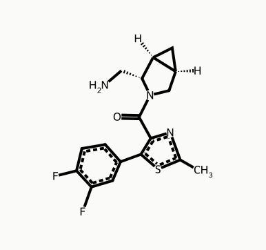 Cc1nc(C(=O)N2C[C@@H]3C[C@@H]3[C@H]2CN)c(-c2ccc(F)c(F)c2)s1